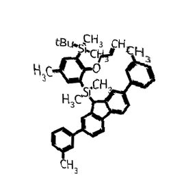 C=CCOc1c([Si](C)(C)C2c3cc(-c4cccc(C)c4)ccc3-c3ccc(-c4cccc(C)c4)cc32)cc(C)cc1[Si](C)(C)C(C)(C)C